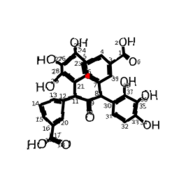 O=C(O)c1cccc(C(C(=O)C(c2cccc(C(=O)O)c2)c2ccc(O)c(O)c2O)c2ccc(O)c(O)c2O)c1